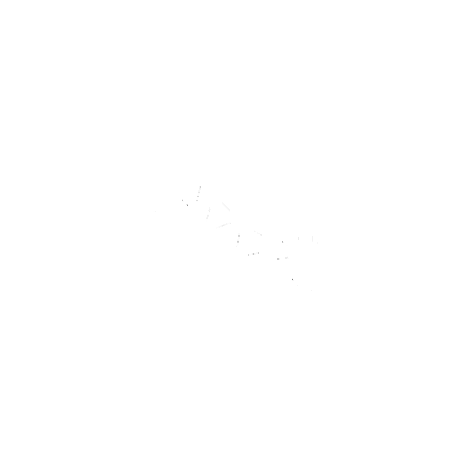 CN(Cc1cccc(-c2ccc(C(=O)N3CCCOCC3)cc2)c1)C(=O)CN